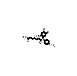 Cc1ccc(N(C(=O)CCCCCC(N)=O)c2cc(F)c(F)cc2N)cc1